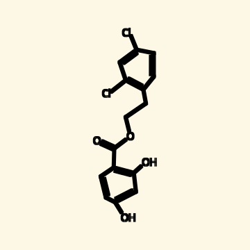 O=C(OCCc1ccc(Cl)cc1Cl)c1ccc(O)cc1O